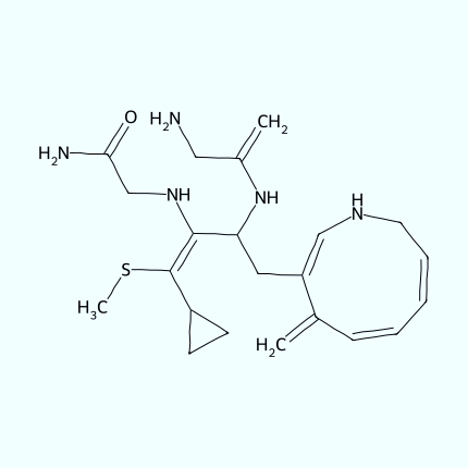 C=C(CN)NC(C/C1=C/NC/C=C\C=C/C1=C)/C(NCC(N)=O)=C(/SC)C1CC1